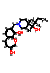 [2H]C([2H])(CC)C([2H])(O)C1([2H])CCN(Cc2ccc3c(c2O)OC=C(O)C=C3)CC1